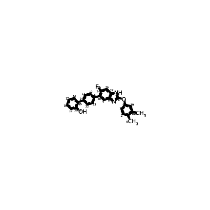 Cc1ccc(Oc2nc3cc(-c4ccc(-c5ccccc5O)cc4)c(F)cc3[nH]2)cc1C